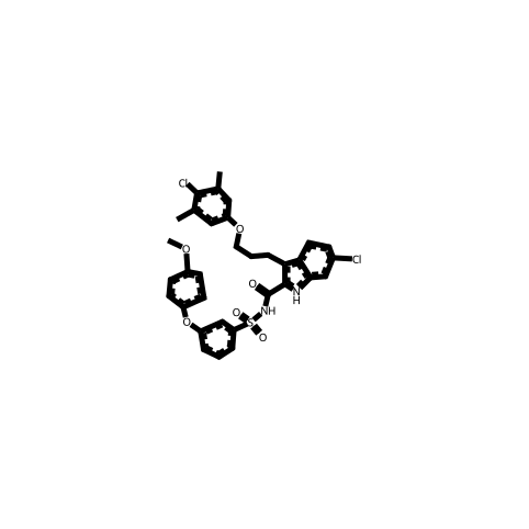 COc1ccc(Oc2cccc(S(=O)(=O)NC(=O)c3[nH]c4cc(Cl)ccc4c3CCCOc3cc(C)c(Cl)c(C)c3)c2)cc1